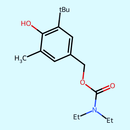 CCN(CC)C(=O)OCc1cc(C)c(O)c(C(C)(C)C)c1